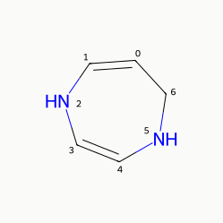 C1=CNC=CNC1